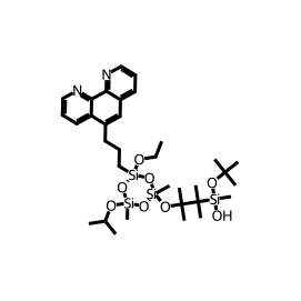 CCO[Si]1(CCCc2cc3cccnc3c3ncccc23)O[Si](C)(OC(C)C)O[Si](C)(OC(C)(C)C(C)(C)[Si](C)(O)OC(C)(C)C)O1